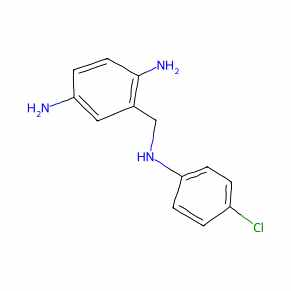 Nc1ccc(N)c(CNc2ccc(Cl)cc2)c1